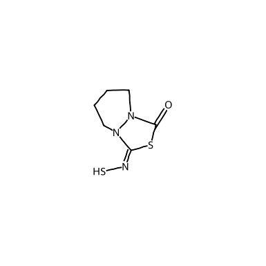 O=c1s/c(=N/S)n2n1CCCC2